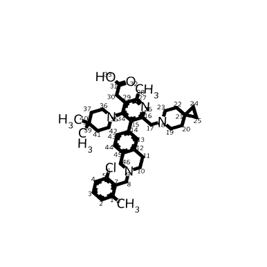 Cc1cccc(Cl)c1CN1CCc2cc(-c3c(CN4CCC5(CC4)CC5)nc(C)c(CC(=O)O)c3N3CCC(C)(C)CC3)ccc2C1